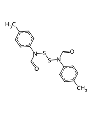 Cc1ccc(N(C=O)SSN(C=O)c2ccc(C)cc2)cc1